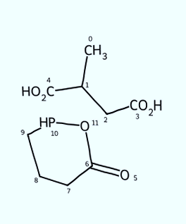 CC(CC(=O)O)C(=O)O.O=C1CCCPO1